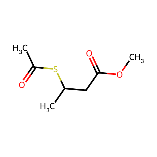 COC(=O)CC(C)SC(C)=O